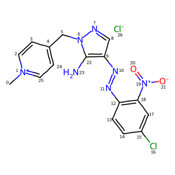 C[n+]1ccc(Cn2ncc(N=Nc3ccc(Cl)cc3[N+](=O)[O-])c2N)cc1.[Cl-]